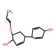 C/C=C/OC1CC(C2C=CC(O)C=C2)C=CC1O